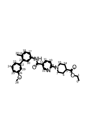 CCOC(=O)C1CCN(c2ccc(C(=O)Nc3ccc(C)c(-c4cccc(OC)c4)c3)cn2)CC1